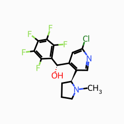 CN1CCC[C@H]1c1cnc(Cl)cc1[C@H](O)c1c(F)c(F)c(F)c(F)c1F